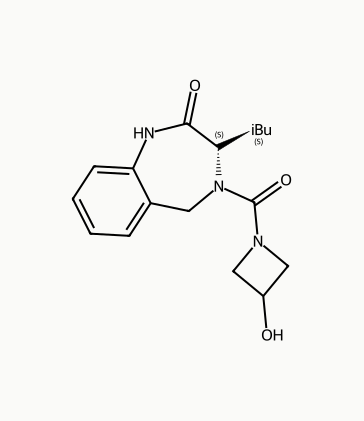 CC[C@H](C)[C@H]1C(=O)Nc2ccccc2CN1C(=O)N1CC(O)C1